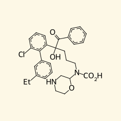 CCc1cccc(-c2c(Cl)cccc2C(O)(CCCN(C(=O)O)C2CNCCO2)C(=O)c2ccccc2)c1